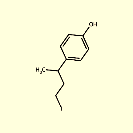 CC(CCI)c1ccc(O)cc1